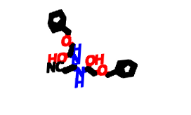 N#CC=C(NC(O)COCC1CC2C=CC1C2)NC(O)COCC1CC2C=CC1C2